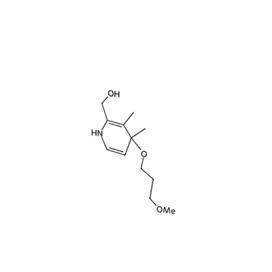 COCCCOC1(C)C=CNC(CO)=C1C